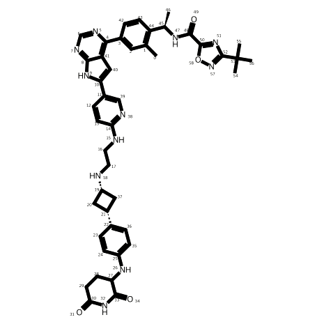 Cc1cc(-c2ncnc3[nH]c(-c4ccc(NCCN[C@H]5C[C@@H](c6ccc(NC7CCC(=O)NC7=O)cc6)C5)nc4)cc23)ccc1[C@@H](C)NC(=O)c1nc(C(C)(C)C)no1